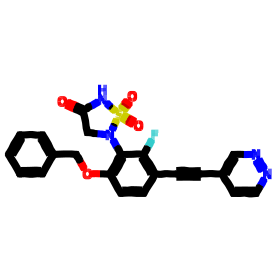 O=C1CN(c2c(OCc3ccccc3)ccc(C#Cc3ccnnc3)c2F)S(=O)(=O)N1